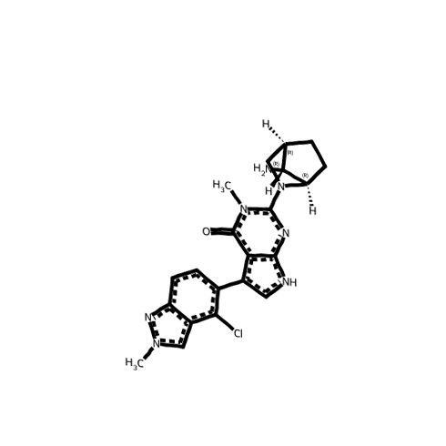 Cn1cc2c(Cl)c(-c3c[nH]c4nc(N5C[C@H]6CC[C@@H]5[C@@H]6N)n(C)c(=O)c34)ccc2n1